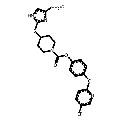 CCOC(=O)c1c[nH]c(SC2CCN(C(=O)Oc3ccc(Oc4ccc(C(F)(F)F)cn4)cc3)CC2)n1